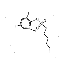 CCCCCCS(=O)(=O)Oc1c(I)cc(I)cc1I